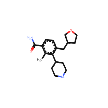 Cc1c(C(N)=O)ccc(CC2CCOC2)c1C1CCNCC1